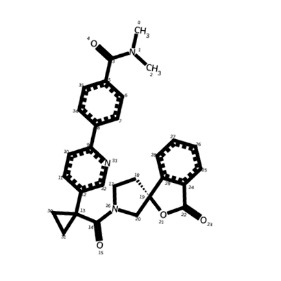 CN(C)C(=O)c1ccc(-c2ccc(C3(C(=O)N4CC[C@@]5(C4)OC(=O)c4ccccc45)CC3)cn2)cc1